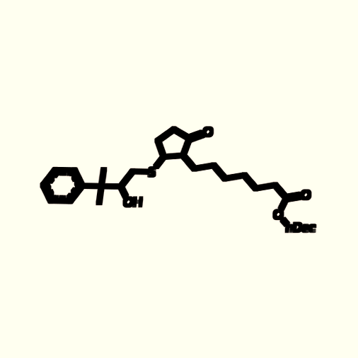 CCCCCCCCCCOC(=O)CCCCCCC1C(=O)CCC1SCC(O)C(C)(C)c1ccccc1